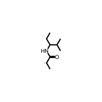 C[CH]C(=O)NC(CC)C(C)C